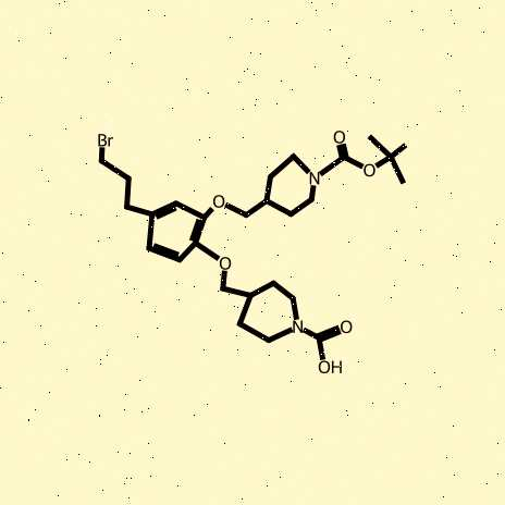 CC(C)(C)OC(=O)N1CCC(COc2cc(CCCBr)ccc2OCC2CCN(C(=O)O)CC2)CC1